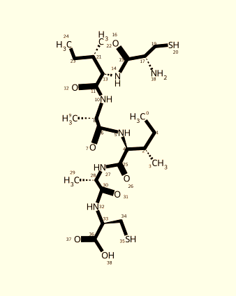 CC[C@H](C)[C@H](NC(=O)[C@H](C)NC(=O)[C@@H](NC(=O)[C@@H](N)CS)[C@@H](C)CC)C(=O)N[C@@H](C)C(=O)N[C@@H](CS)C(=O)O